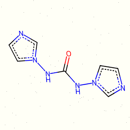 O=C(Nn1ccnc1)Nn1ccnc1